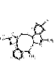 C=C1CC2N=C(C)c3cc(F)ccc3C2CCn2nc(C(F)(F)F)cc2-c2cccc[n+]21